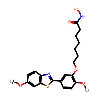 COc1ccc2nc(-c3ccc(OC)c(OCCCCCCC(=O)NO)c3)sc2c1